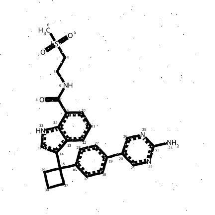 CS(=O)(=O)CCNC(=O)c1cccc2c(C3(c4ccc(-c5cnc(N)nc5)cc4)CCC3)c[nH]c12